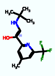 Cc1cc(/C(O)=C/NC(C)(C)C)nc(C(F)(F)F)c1